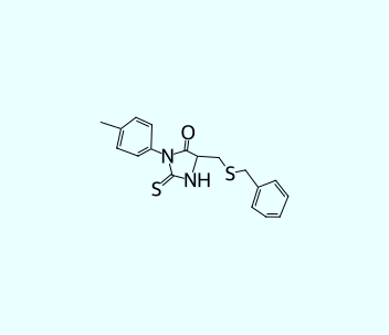 Cc1ccc(N2C(=O)C(CSCc3ccccc3)NC2=S)cc1